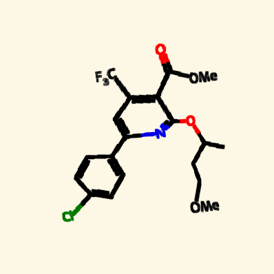 COCCC(C)Oc1nc(-c2ccc(Cl)cc2)cc(C(F)(F)F)c1C(=O)OC